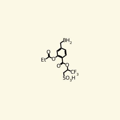 BCc1ccc(C(=O)OC(CS(=O)(=O)O)C(F)(F)F)c(OC(=O)CC)c1